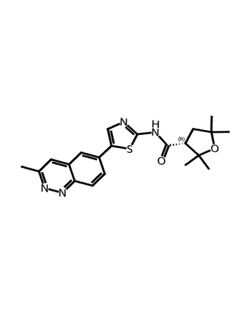 Cc1cc2cc(-c3cnc(NC(=O)[C@@H]4CC(C)(C)OC4(C)C)s3)ccc2nn1